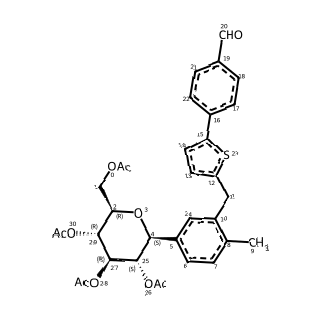 CC(=O)OC[C@H]1O[C@@H](c2ccc(C)c(Cc3ccc(-c4ccc(C=O)cc4)s3)c2)[C@H](OC(C)=O)[C@@H](OC(C)=O)[C@@H]1OC(C)=O